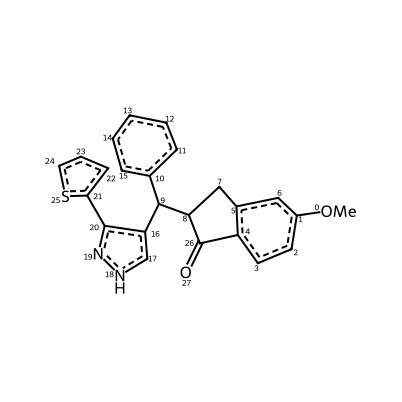 COc1ccc2c(c1)CC(C(c1ccccc1)c1c[nH]nc1-c1cccs1)C2=O